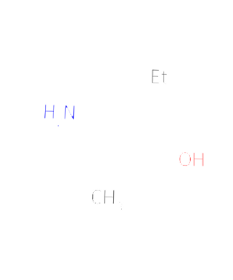 CCC(O)C(C)N